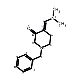 CN(C)/C=C1\CCN(Cc2ccccc2)CC1=O